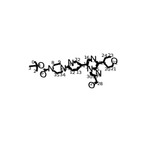 CC(C)(C)OC(=O)N1CCN(c2ccc(-c3cnc(C4CCOCC4)c4nc(C=O)cn34)cn2)CC1